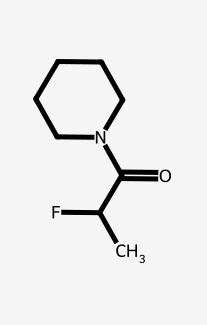 CC(F)C(=O)N1CCCCC1